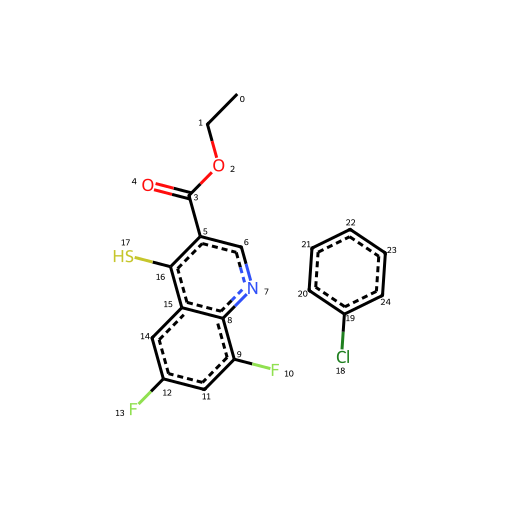 CCOC(=O)c1cnc2c(F)cc(F)cc2c1S.Clc1ccccc1